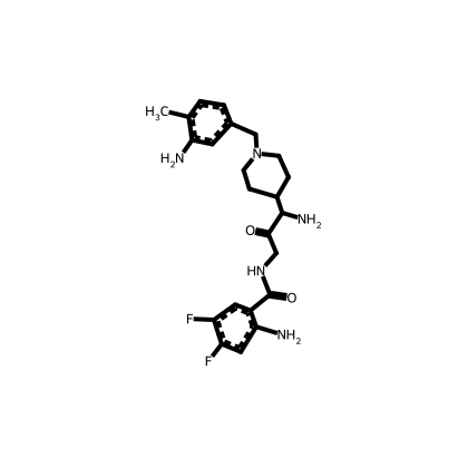 Cc1ccc(CN2CCC(C(N)C(=O)CNC(=O)c3cc(F)c(F)cc3N)CC2)cc1N